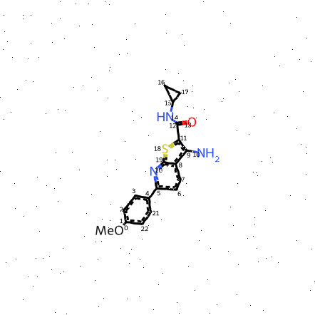 COc1ccc(-c2ccc3c(N)c(C(=O)NC4CC4)sc3n2)cc1